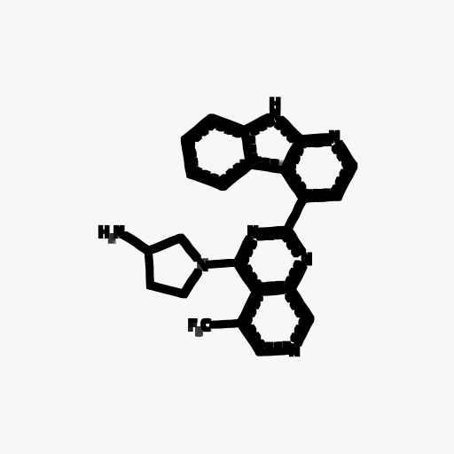 NC1CCN(c2nc(-c3ccnc4[nH]c5ccccc5c34)nc3cncc(C(F)(F)F)c23)C1